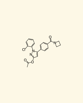 CC(=O)Oc1cc(-c2ccc(C(=O)N3CCC3)cc2)n(-c2ccccc2Cl)n1